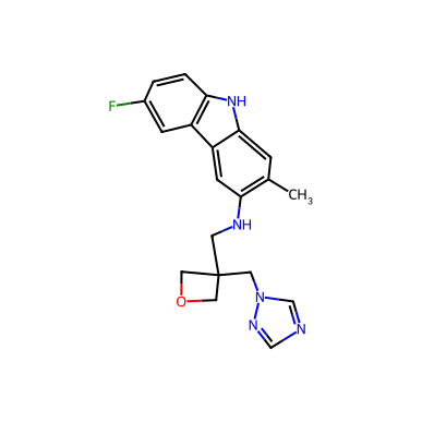 Cc1cc2[nH]c3ccc(F)cc3c2cc1NCC1(Cn2cncn2)COC1